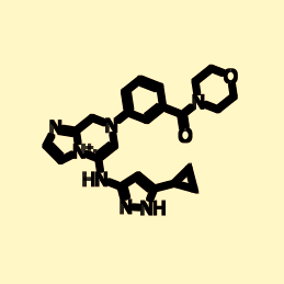 O=C(c1cccc(N2C=C(Nc3cc(C4CC4)[nH]n3)[N+]3C=CN=C3C2)c1)N1CCOCC1